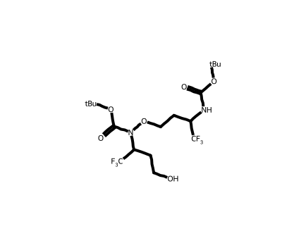 CC(C)(C)OC(=O)NC(CCON(C(=O)OC(C)(C)C)C(CCO)C(F)(F)F)C(F)(F)F